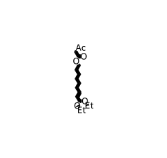 CCOC(/C=C/CCCCCCOC(=O)CC(C)=O)OCC